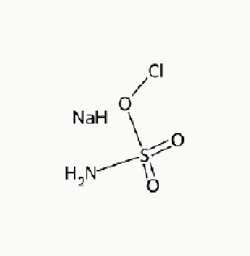 NS(=O)(=O)OCl.[NaH]